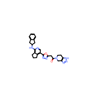 O=C(Cc1nnc(-c2cnc(NC3Cc4ccccc4C3)c3c2CCC3)o1)N1CCc2[nH]nnc2C1